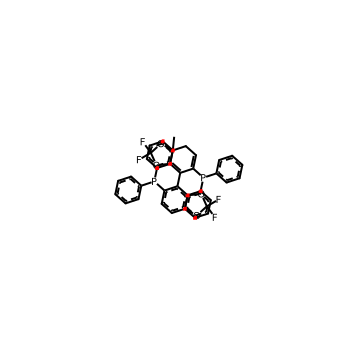 CC12CC=C(P(c3ccccc3)c3ccccc3)C(c3c(P(c4ccccc4)c4ccccc4)ccc4c3OC(F)(F)O4)=C1OC(F)(F)O2